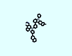 C/C=C\c1cc(N(c2ccc(-c3ccc4ccccc4c3)cc2)c2cccc(-c3cccc4c3c3cc5ccc(C)cc5cc3n4-c3ccccc3)c2)c2ccccc2c1C